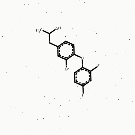 CC(S)Cc1ccc(Oc2ccc(F)cc2F)c(Br)c1